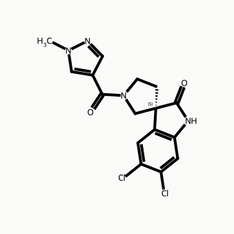 Cn1cc(C(=O)N2CC[C@]3(C2)C(=O)Nc2cc(Cl)c(Cl)cc23)cn1